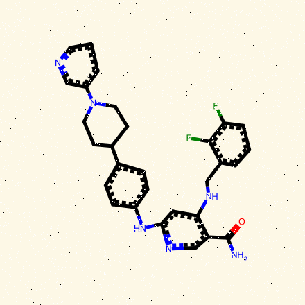 NC(=O)c1cnc(Nc2ccc(C3CCN(c4cccnc4)CC3)cc2)cc1NCc1cccc(F)c1F